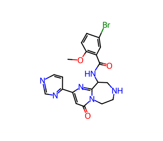 COc1ccc(Br)cc1C(=O)NC1CNCCn2c1nc(-c1ccncn1)cc2=O